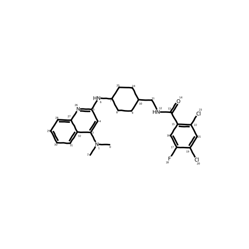 CN(C)c1cc(NC2CCC(CNC(=O)c3cc(F)c(Cl)cc3Cl)CC2)nc2ccccc12